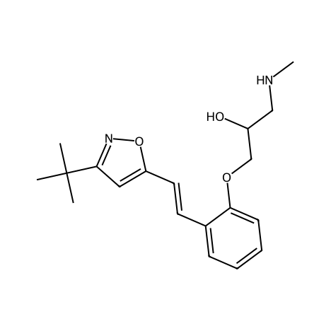 CNCC(O)COc1ccccc1C=Cc1cc(C(C)(C)C)no1